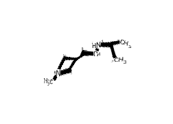 CC(C)NOCC1CN(C)C1